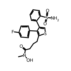 CN(O)C(=O)CCCc1scc(-c2ccccc2S(N)(=O)=O)c1-c1ccc(F)cc1